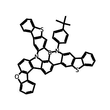 CC(C)(C)c1ccc(N2B3c4cc5sc6ccccc6c5cc4-n4c5ccc6oc7ccccc7c6c5c5ccc(c3c54)-c3cc4sc5ccccc5c4cc32)cc1